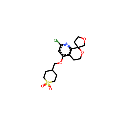 O=S1(=O)CCC(COc2cc(Cl)nc3c2CCOC32CCOC2)CC1